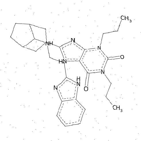 CCCn1c(=O)c2[nH]c(C3CC4CCC(C3)C4NCCc3nc4ccccc4[nH]3)nc2n(CCC)c1=O